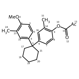 COc1ccc(C2(c3ccc(OC(=O)C(C)=O)c(C)c3)CCCCC2)cc1C